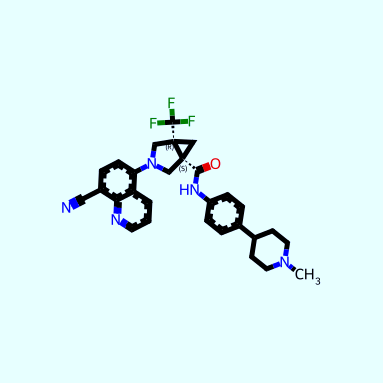 CN1CCC(c2ccc(NC(=O)[C@]34CN(c5ccc(C#N)c6ncccc56)C[C@@]3(C(F)(F)F)C4)cc2)CC1